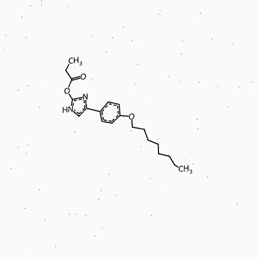 CCCCCCCCOc1ccc(-c2c[nH]c(OC(=O)CC)n2)cc1